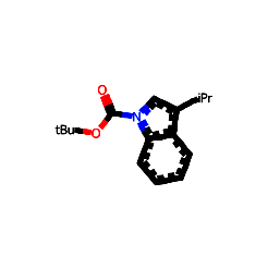 CC(C)c1cn(C(=O)OC(C)(C)C)c2ccccc12